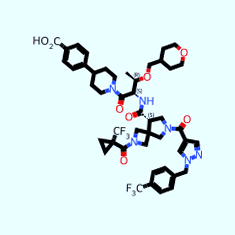 C[C@@H](OCC1CCOCC1)[C@H](NC(=O)[C@@H]1CN(C(=O)c2cnn(Cc3ccc(C(F)(F)F)cc3)c2)CC12CN(C(=O)C1(C(F)(F)F)CC1)C2)C(=O)N1CCC(c2ccc(C(=O)O)cc2)CC1